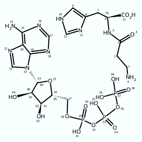 NCCC(=O)N[C@@H](Cc1c[nH]cn1)C(=O)O.Nc1ncnc2c1ncn2[C@@H]1O[C@H](COP(=O)(O)OP(=O)(O)OP(=O)(O)O)[C@@H](O)[C@H]1O